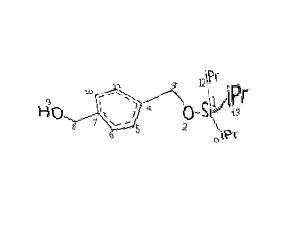 CC(C)[Si](OCc1ccc(CO)cc1)(C(C)C)C(C)C